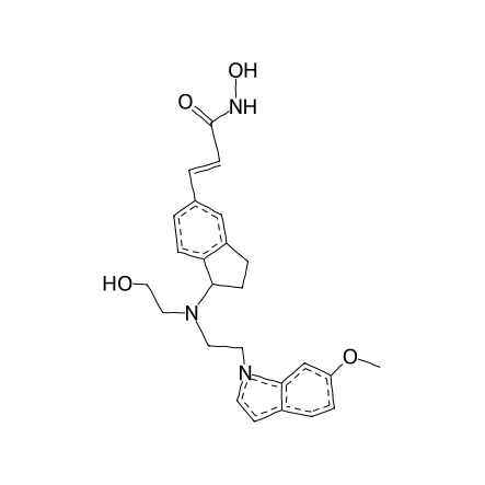 COc1ccc2ccn(CCN(CCO)C3CCc4cc(C=CC(=O)NO)ccc43)c2c1